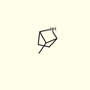 CC1C2CCC1N2